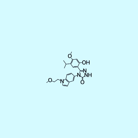 COCCn1ccc2cc(-n3c(-c4cc(C(C)C)c(OC)cc4O)n[nH]c3=O)ccc21